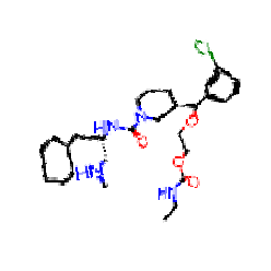 CCNC(=O)OCCOC(c1cccc(Cl)c1)[C@@H]1CCCN(C(=O)N[C@H](CNC)CC2CCCCC2)C1